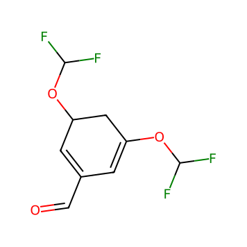 O=CC1=CC(OC(F)F)CC(OC(F)F)=C1